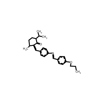 CCCOc1ccc(/C=N/c2ccc(/C=C3\C(=O)C(C(C)C)CCC3C)cc2)cc1